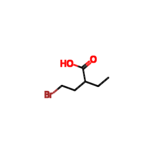 CCC(CCBr)C(=O)O